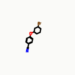 N#Cc1ccc(OC2CCCC(Br)C2)cc1